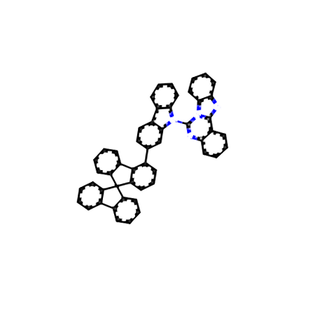 c1ccc2c(c1)-c1ccccc1C21c2ccccc2-c2c(-c3ccc4c5ccccc5n(-c5nc6ccccc6c6nc7ccccc7n56)c4c3)cccc21